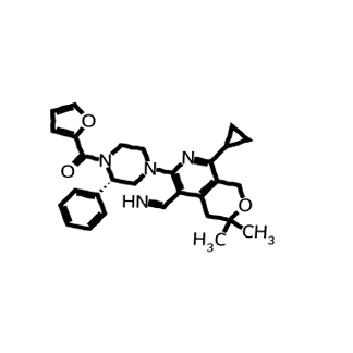 CC1(C)Cc2c(C=N)c(N3CCN(C(=O)c4ccco4)[C@@H](c4ccccc4)C3)nc(C3CC3)c2CO1